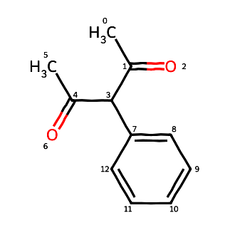 CC(=O)C(C(C)=O)c1ccccc1